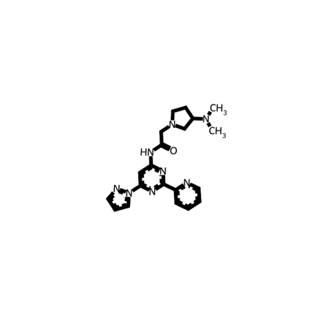 CN(C)C1CCN(CC(=O)Nc2cc(-n3cccn3)nc(-c3ccccn3)n2)C1